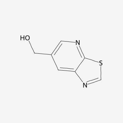 OCc1cnc2scnc2c1